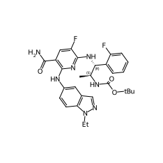 CCn1ncc2cc(Nc3nc(N[C@H](c4ccccc4F)[C@H](C)NC(=O)OC(C)(C)C)c(F)cc3C(N)=O)ccc21